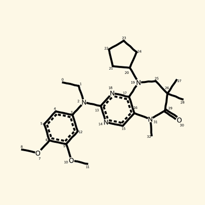 CCN(c1ccc(OC)c(OC)c1)c1ncc2c(n1)N(C1CCCC1)CC(C)(C)C(=O)N2C